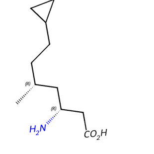 C[C@H](CCC1CC1)C[C@@H](N)CC(=O)O